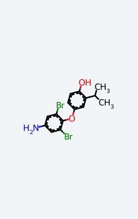 CC(C)c1cc(Oc2c(Br)cc(N)cc2Br)ccc1O